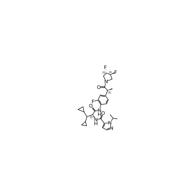 CC(C)n1nccc1C(=O)N[C@H](C(=O)Nc1ccc([C@H](C)C(=O)N2C[C@H](F)[C@@H](F)C2)cc1F)C(C1CC1)C1CC1